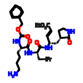 CCOC(=O)/C=C/[C@H](C[C@@H]1CCNC1=O)NC(=O)[C@H](CC(C)C)NC(=O)[C@H](CCCCN)NC(=O)OCc1ccccc1